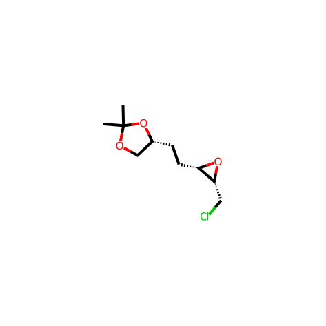 CC1(C)OC[C@@H](CC[C@@H]2O[C@@H]2CCl)O1